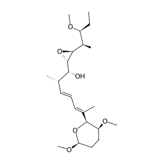 CC[C@H](OC)[C@@H](C)[C@@H]1O[C@H]1[C@H](O)[C@@H](C)/C=C/C=C(\C)[C@@H]1O[C@H](OC)CC[C@@H]1OC